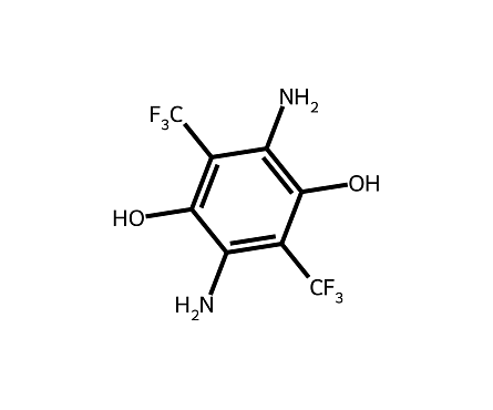 Nc1c(O)c(C(F)(F)F)c(N)c(O)c1C(F)(F)F